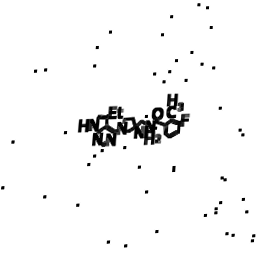 CCc1c[nH]c2ncnc(N3CC[C@](N)(CNC(=O)c4cccc(F)c4C)C3)c12